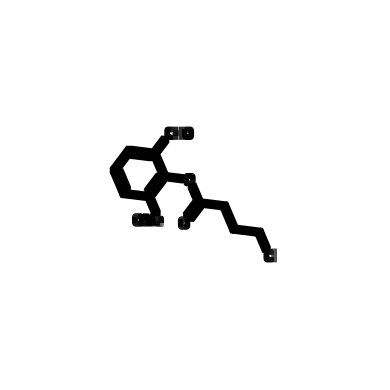 COc1cccc(C=O)c1OC(=O)CCCCl